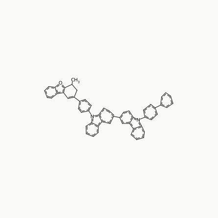 CC1CC(c2ccc(-n3c4ccccc4c4cc(-c5ccc6c(c5)c5ccccc5n6-c5ccc(-c6ccccc6)cc5)ccc43)cc2)=Cc2c1oc1ccccc21